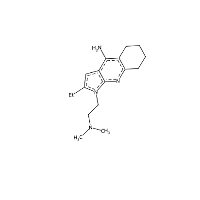 CCc1cc2c(N)c3c(nc2n1CCN(C)C)CCCC3